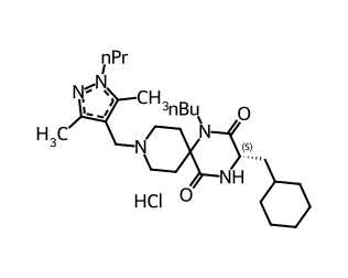 CCCCN1C(=O)[C@H](CC2CCCCC2)NC(=O)C12CCN(Cc1c(C)nn(CCC)c1C)CC2.Cl